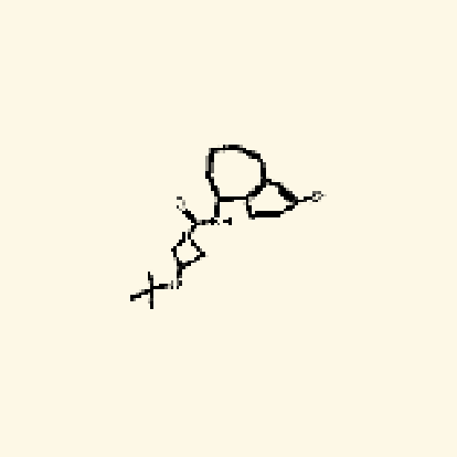 CC(C)(C)OC1CN(C(=O)NC2CCCCc3cc(Br)ccc32)C1